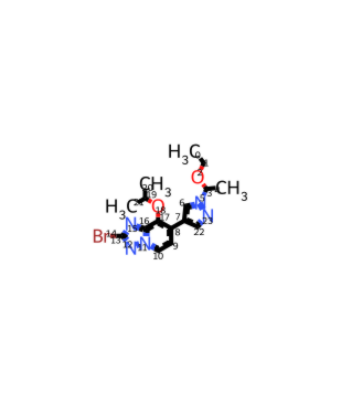 CCOC(C)n1cc(-c2ccn3nc(Br)nc3c2OC(C)C)cn1